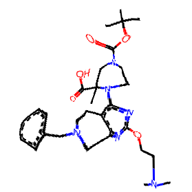 CN(C)CCOc1nc2c(c(N3CCN(C(=O)OC(C)(C)C)CC3(C)C(=O)O)n1)CCN(Cc1ccccc1)C2